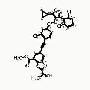 COC(=O)c1cc(C#Cc2ccc(OCc3c(-c4c(Cl)cccc4Cl)noc3C3CC3)cc2Cl)cc2oc(C(C)C)nc12